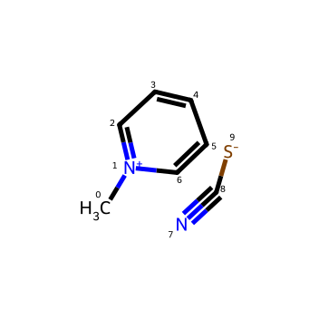 C[n+]1ccccc1.N#C[S-]